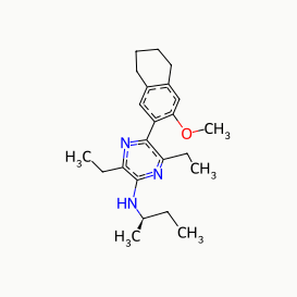 CCc1nc(-c2cc3c(cc2OC)CCCC3)c(CC)nc1N[C@H](C)CC